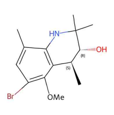 COc1c(Br)cc(C)c2c1[C@H](C)[C@@H](O)C(C)(C)N2